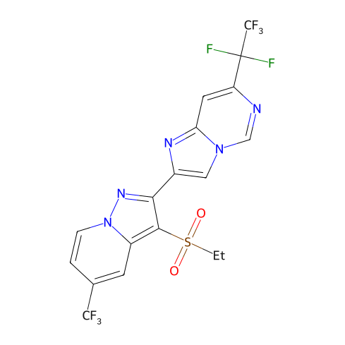 CCS(=O)(=O)c1c(-c2cn3cnc(C(F)(F)C(F)(F)F)cc3n2)nn2ccc(C(F)(F)F)cc12